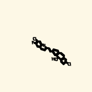 OC1c2ccc(Cl)cc2C=Cc2ccc(C=Cc3ccc4cc(F)c(Cl)cc4n3)cc21